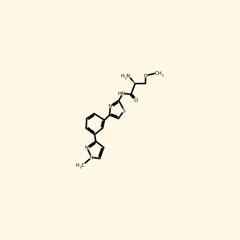 COC[C@H](N)C(=O)Nc1nc(-c2cccc(-c3ccn(C)n3)c2)cs1